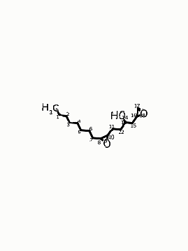 CCCCCCCCC1OC1CCC(O)CC1CO1